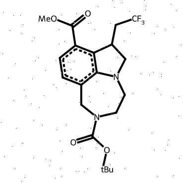 COC(=O)c1ccc2c3c1C(CC(F)(F)F)CN3CCN(C(=O)OC(C)(C)C)C2